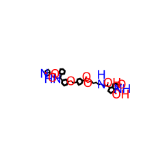 O=C(NC(c1ccccc1)c1cccc(OCc2ccc(C(=O)OCCCCNCC(O)c3ccc(O)c4[nH]c(=O)ccc34)cc2)c1)OC1CN2CCC1CC2